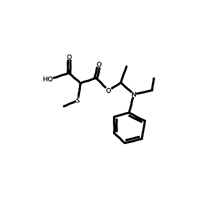 CCN(c1ccccc1)C(C)OC(=O)C(SC)C(=O)O